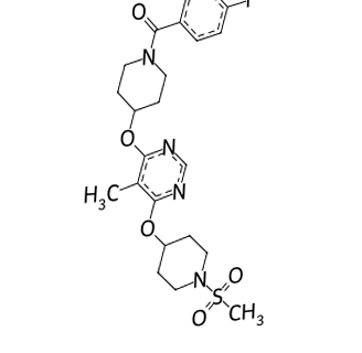 Cc1c(OC2CCN(C(=O)c3ccc(F)cc3)CC2)ncnc1OC1CCN(S(C)(=O)=O)CC1